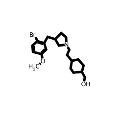 COc1ccc(Br)c(CC2CCN(CCC3CCC(CO)CC3)C2)c1